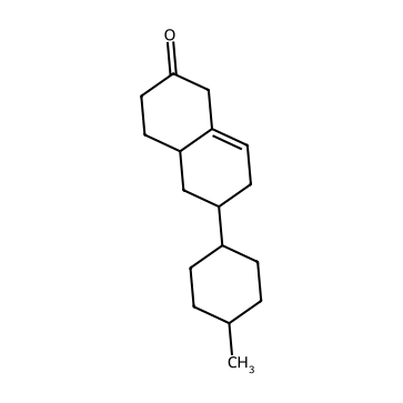 CC1CCC(C2CC=C3CC(=O)CCC3C2)CC1